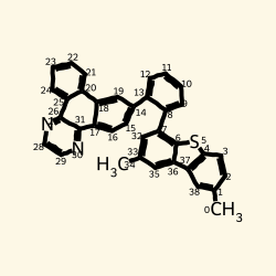 Cc1ccc2sc3c(-c4ccccc4-c4ccc5c(c4)c4ccccc4c4nccnc54)cc(C)cc3c2c1